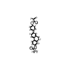 C=C(C)C(=O)Oc1ccc(-c2ccc3c(c2)CCc2cc(OC(=O)C(C)C)ccc2-3)cc1